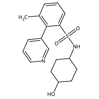 Cc1cccc(S(=O)(=O)NC2CCC(O)CC2)c1-c1cccnc1